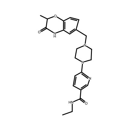 CCNC(=O)c1ccc(N2CCN(Cc3ccc4c(c3)NC(=O)C(C)O4)CC2)nc1